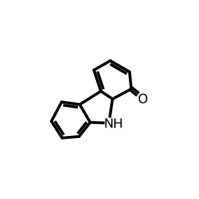 O=C1C=CC=C2c3ccccc3NC12